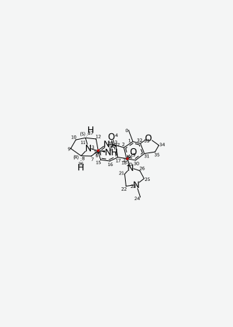 Cc1c(C(=O)N[C@H]2C[C@H]3CC[C@@H](C2)N3c2ccc(C(=O)N3CCN(C)CC3)cn2)ccc2c1OCC2